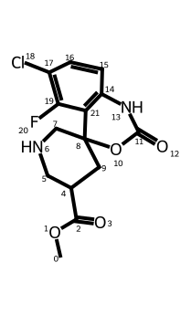 COC(=O)C1CNCC2(C1)OC(=O)Nc1ccc(Cl)c(F)c12